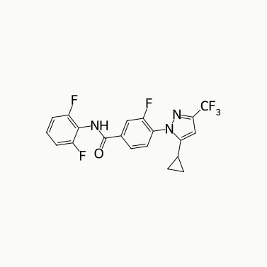 O=C(Nc1c(F)cccc1F)c1ccc(-n2nc(C(F)(F)F)cc2C2CC2)c(F)c1